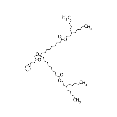 CCCCCC(CCCCC)CCOC(=O)CCCCCCCCC1(CCCCCCCCC(=O)OCCC(CCCCC)CCCCC)OCC(CCN2CCCC2)O1